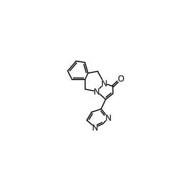 O=c1cc(-c2ccncn2)n2n1Cc1ccccc1C2